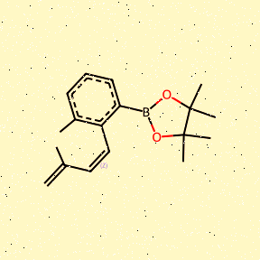 C=C(C)/C=C\c1c(C)cccc1B1OC(C)(C)C(C)(C)O1